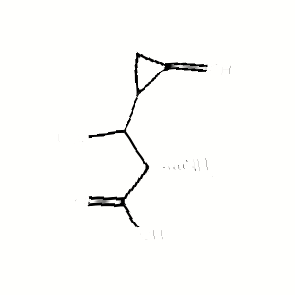 C=C1CC1C(C)[C@H](N)C(=O)O